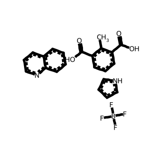 Cc1c(C(=O)O)cccc1C(=O)O.F[B-](F)(F)F.c1cc[nH]c1.c1ccc2ncccc2c1